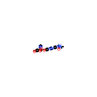 CCC(C)n1ncn(-c2ccc(N3CCN(c4ccc(OC[C@@H]5CO[C@@](Cn6cccn6)(c6ccc(OC)cc6)O5)cc4)CC3)cc2)c1=O